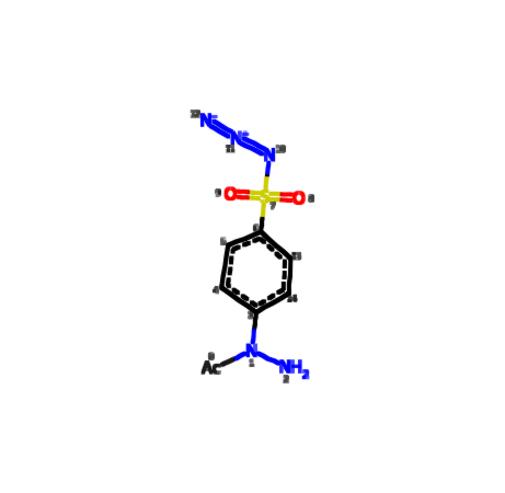 CC(=O)N(N)c1ccc(S(=O)(=O)N=[N+]=[N-])cc1